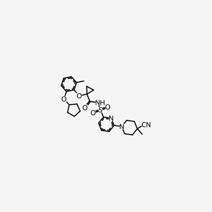 Cc1cccc(OC2CCCC2)c1OC1(C(=O)NS(=O)(=O)c2cccc(N3CCC(C)(C#N)CC3)n2)CC1